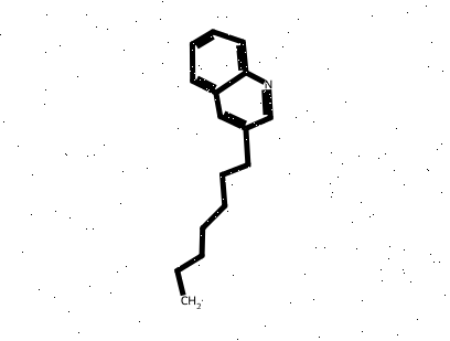 [CH2]CCCCCCc1cnc2ccccc2c1